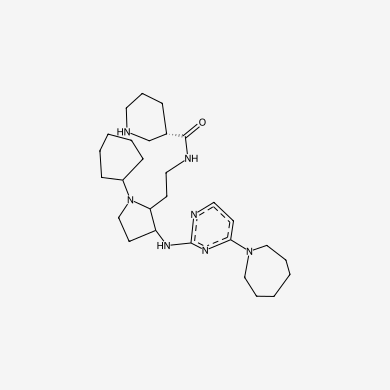 O=C(NCCC1C(Nc2nccc(N3CCCCCC3)n2)CCN1C1CCCCC1)[C@H]1CCCNC1